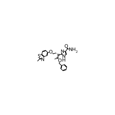 Cc1nc2cc(OCC[C@H](c3nc(C(N)=O)c[nH]3)[C@H](C)OCc3ccccc3)ccc2s1